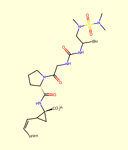 CCCCCC/C=C\C1C[C@]1(NC(=O)[C@@H]1CCCN1C(=O)CNC(=O)NC(CN(C)S(=O)(=O)N(C)C)C(C)(C)C)C(=O)O